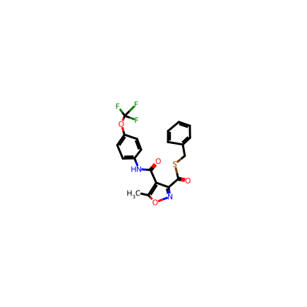 Cc1onc(C(=O)SCc2ccccc2)c1C(=O)Nc1ccc(OC(F)(F)F)cc1